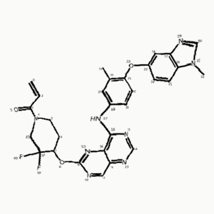 C=CC(=O)N1CCC(Oc2ncc3ncnc(Nc4ccc(Oc5ccc6c(c5)ncn6C)c(C)c4)c3n2)C(F)(F)C1